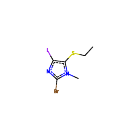 CCSc1c(I)nc(Br)n1C